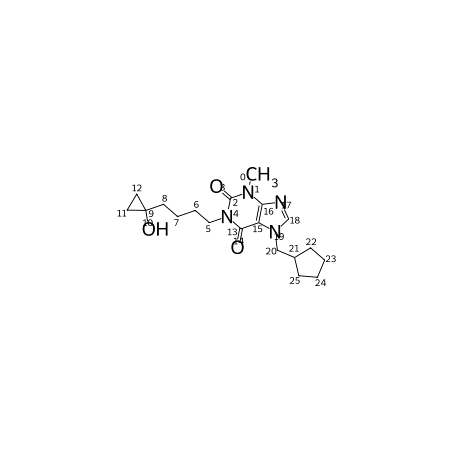 Cn1c(=O)n(CCCCC2(O)CC2)c(=O)c2c1ncn2CC1CCCC1